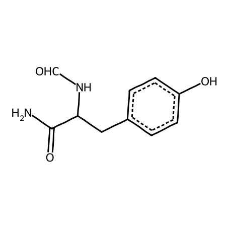 NC(=O)C(Cc1ccc(O)cc1)NC=O